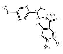 COc1ccc(N2CC[C@@]3(O)C(=O)c4cc(C)c(C)cc4N=C23)cc1